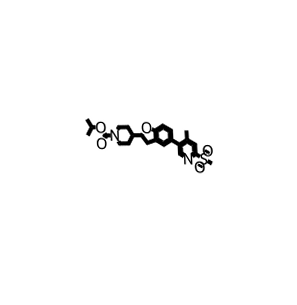 Cc1cc(S(C)(=O)=O)ncc1-c1ccc2c(c1)CC(C1CCN(C(=O)OC(C)C)CC1)O2